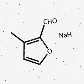 Cc1ccoc1C=O.[NaH]